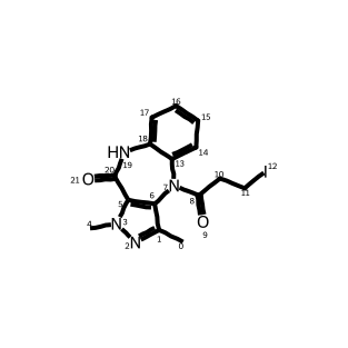 Cc1nn(C)c2c1N(C(=O)CCI)c1ccccc1NC2=O